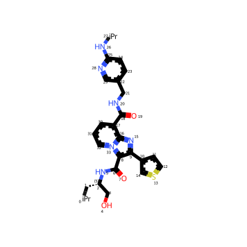 CC(C)C[C@@H](CO)NC(=O)c1c(-c2ccsc2)nc2c(C(=O)NCc3ccc(NC(C)C)nc3)cccn12